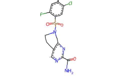 NC(=O)c1n[c]c2c(n1)CN(S(=O)(=O)c1cc(Cl)ccc1F)CC2